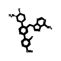 COc1ccc(-c2cc(CN3C=NC4C(N)=NC=NC43)c(N3CC[C@@H](F)[C@@H](N)C3)cn2)c(F)c1